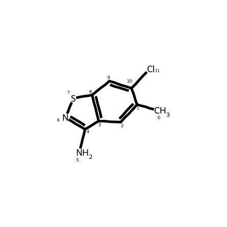 Cc1cc2c(N)nsc2cc1Cl